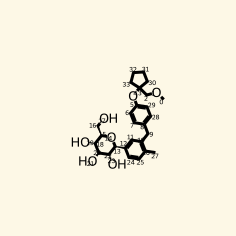 COCC1(Oc2ccc(Cc3cc([C@@H]4O[C@H](CO)[C@@H](O)[C@H](O)[C@H]4O)ccc3C)cc2)CCCC1